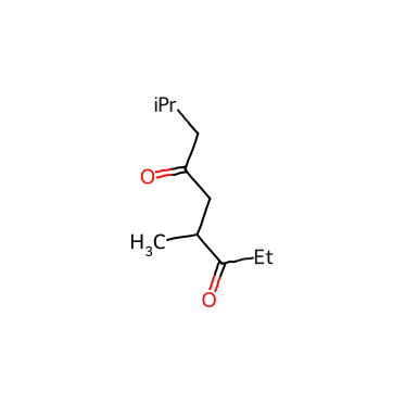 CCC(=O)C(C)CC(=O)CC(C)C